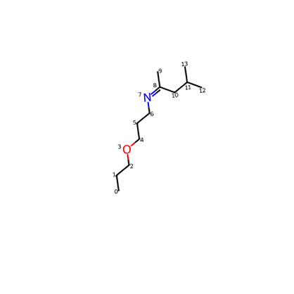 CCCOCCCN=C(C)CC(C)C